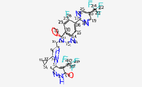 O=c1[nH]ncc(N[C@H](CCCn2cnc3cc(-c4ncc(C(F)(F)F)cn4)c(F)cc3c2=O)C2CC2)c1C(F)(F)F